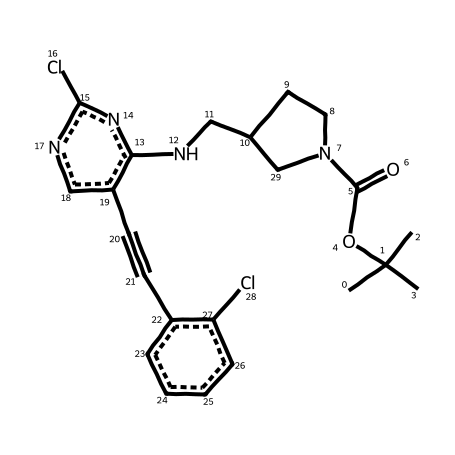 CC(C)(C)OC(=O)N1CCC(CNc2nc(Cl)ncc2C#Cc2ccccc2Cl)C1